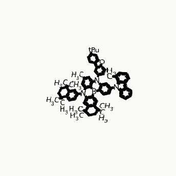 Cc1cc2c3c(c1)N(c1ccc4c(c1)C(C)(C)CCC4(C)C)c1cc4c(cc1B3c1ccc(-n3c5ccccc5c5cccc(C)c53)cc1N2c1ccc2oc3cc(C(C)(C)C)ccc3c2c1)C(C)(C)CCC4(C)C